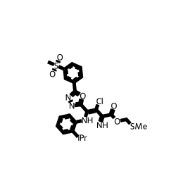 CSCOC(=O)C(=N)/C(Cl)=C(\Nc1ccccc1C(C)C)c1nnc(-c2cccc(S(C)(=O)=O)c2)o1